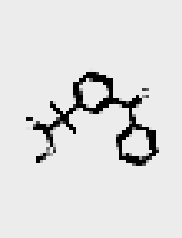 COC(=O)C(C)(C)c1cccc(C(=O)c2ccccc2)c1